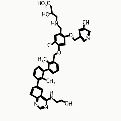 Cc1c(COc2cc(OCc3cncc(C#N)c3)c(CNC[C@@H](O)CC(=O)O)cc2Cl)cccc1-c1cccc(-c2ccc3ncnc(NCCO)c3c2)c1C